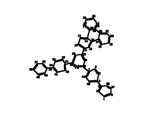 c1ccc(-c2ccc(-c3cc(-c4ccc5c(c4)c4ccccc4c4nccnc54)cc(-c4ccc(-c5ccccc5)cc4)n3)cc2)cc1